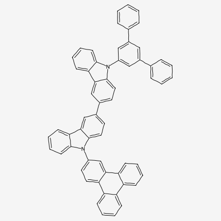 c1ccc(-c2cc(-c3ccccc3)cc(-n3c4ccccc4c4cc(-c5ccc6c(c5)c5ccccc5n6-c5ccc6c7ccccc7c7ccccc7c6c5)ccc43)c2)cc1